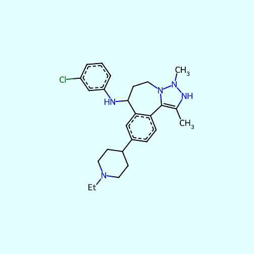 CCN1CCC(c2ccc3c(c2)C(Nc2cccc(Cl)c2)CCN2C3=C(C)NN2C)CC1